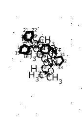 [C-]#[N+][C@]1(C[C@@H]2C(=O)C=C[C@@H](O[Si](c3ccccc3)(c3ccccc3)C(C)(C)C)C2(C)C)CCCN1C(=O)OC(C)(C)C